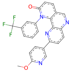 COc1ccc(-c2ccc3ncc4ccc(=O)n(-c5cccc(C(F)(F)F)c5)c4c3n2)cn1